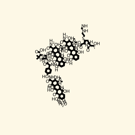 CC1(C)S[C@@H]2[C@H](NC(=O)[C@H](N)c3ccc(O)cc3)C(=O)N2[C@H]1C(=O)O.CN(C)[C@@H]1C(O)=C(C(N)=O)C(=O)[C@@]2(O)C(O)=C3C(=O)c4c(O)ccc(Cl)c4[C@@](C)(O)[C@H]3C[C@@H]12.CN(C)[C@@H]1C(O)=C(C(N)=O)C(=O)[C@@]2(O)C(O)=C3C(=O)c4c(O)cccc4[C@@](C)(O)[C@H]3C[C@@H]12.CN(C)[C@@H]1C(O)=C(C(N)=O)C(=O)[C@@]2(O)C(O)=C3C(=O)c4c(O)cccc4[C@@](C)(O)[C@H]3[C@H](O)[C@@H]12.C[C@@H](O)[C@H]1C(=O)N2C(C(=O)O)=C(SCCNC=N)C[C@H]12.O.O.O